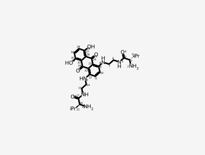 CC(C)[C@H](N)C(=O)NCCNc1ccc(NCCNC(=O)[C@@H](N)C(C)C)c2c1C(=O)c1c(O)ccc(O)c1C2=O